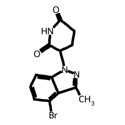 Cc1nn(C2CCC(=O)NC2=O)c2cccc(Br)c12